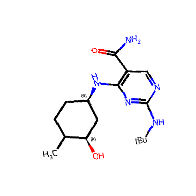 CC1CC[C@@H](Nc2nc(NC(C)(C)C)ncc2C(N)=O)C[C@H]1O